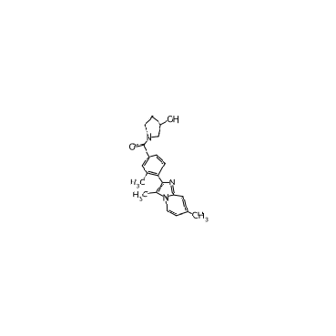 Cc1ccn2c(C)c(-c3ccc(C(=O)N4CCC(O)C4)cc3C)nc2c1